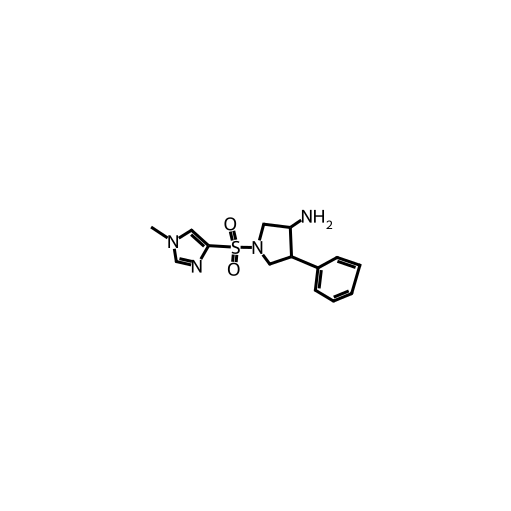 Cn1cnc(S(=O)(=O)N2CC(N)C(c3ccccc3)C2)c1